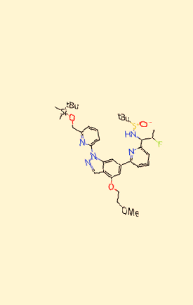 COCCOc1cc(-c2cccc([C@@H](N[S+]([O-])C(C)(C)C)C(C)F)n2)cc2c1cnn2-c1cccc(CO[Si](C)(C)C(C)(C)C)n1